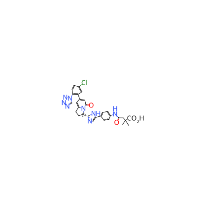 CC(C)(CC(=O)Nc1ccc(-c2cnc([C@@H]3CCc4cc(-c5cc(Cl)ccc5-n5cnnn5)cc(=O)n43)[nH]2)cc1)C(=O)O